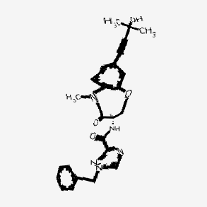 CN1C(=O)[C@@H](NC(=O)c2ncn(Cc3ccccc3)n2)COc2cc(C#CC(C)(C)O)ccc21